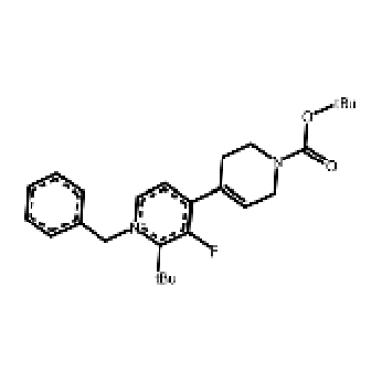 CC(C)(C)OC(=O)N1CC=C(c2cc[n+](Cc3ccccc3)c(C(C)(C)C)c2F)CC1